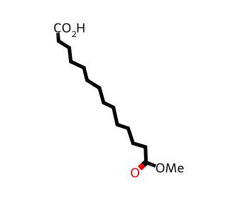 COC(=O)CCCCCCCCCCCCC(=O)O